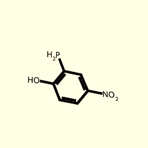 O=[N+]([O-])c1ccc(O)c(P)c1